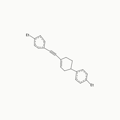 CCc1ccc(C#CC2=CCC(c3ccc(CC)cc3)CC2)cc1